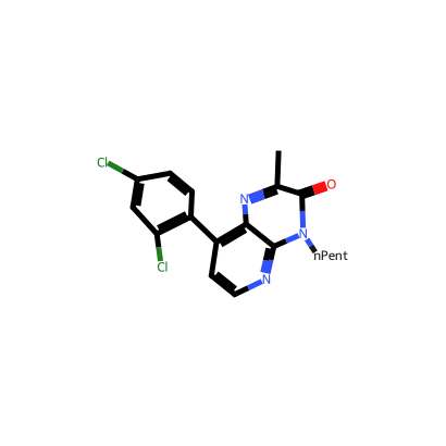 CCCCCn1c(=O)c(C)nc2c(-c3ccc(Cl)cc3Cl)ccnc21